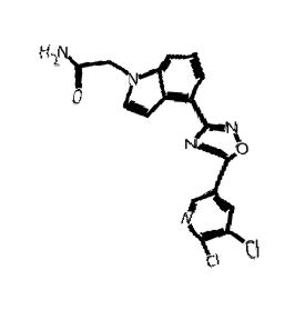 NC(=O)Cn1ccc2c(-c3noc(-c4cnc(Cl)c(Cl)c4)n3)cccc21